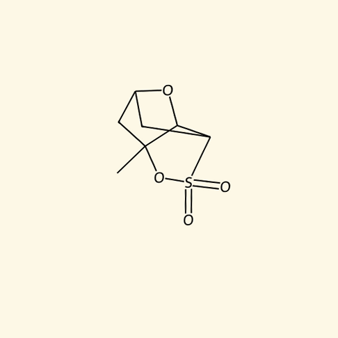 CC12CC3CC(C1O3)S(=O)(=O)O2